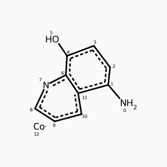 Nc1ccc(O)c2ncccc12.[Co]